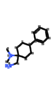 CN(C)C1(CN)CCC(c2ccccc2)CC1